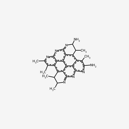 Cc1nc2nc3c4c(c5c(C)c(N)nc6nc7c8c(c(c1C)c2c4c8c65)C(C)C(C)N=7)C(C)C(N)N=3